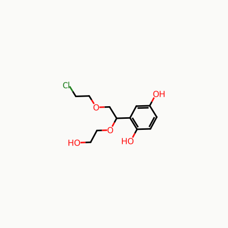 OCCOC(COCCCl)c1cc(O)ccc1O